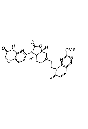 C=C1C=Cc2cnc(OC)nc2N1CCN1CC[C@@H]2[C@@H](C1)OC(=O)N2c1ccc2c(n1)NC(=O)CO2